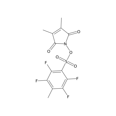 CC1=C(C)C(=O)N(OS(=O)(=O)c2c(F)c(F)c(C)c(F)c2F)C1=O